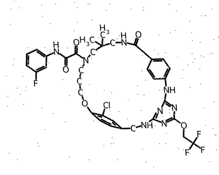 CC1(C)CNC(=O)c2ccc(cc2)Nc2nc(nc(OCC(F)(F)F)n2)NCc2ccc(c(Cl)c2)OCCCN(C(=O)C(=O)Nc2cccc(F)c2)C1